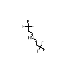 FC(F)(F)CSNSCC(F)(F)F